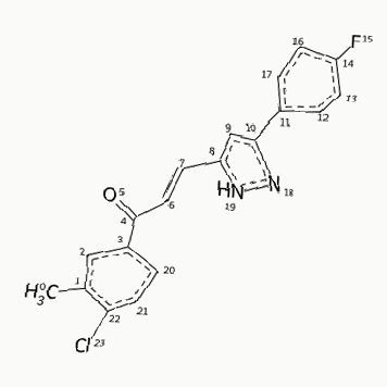 Cc1cc(C(=O)/C=C/c2cc(-c3ccc(F)cc3)n[nH]2)ccc1Cl